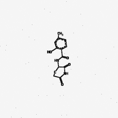 Cc1ccc(C(=O)NC2CCC(=O)NC2=O)c(O)c1